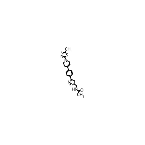 CC(=O)NCC1CC(c2ccc(C3=CCN(c4nnc(C)s4)CC3)cc2)=NO1